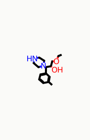 CCOCC(O)C(c1cccc(C)c1)N1CCNCC1